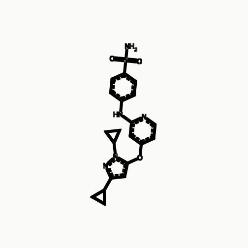 NS(=O)(=O)c1ccc(Nc2cc(Oc3cc(C4CC4)nn3C3CC3)ccn2)cc1